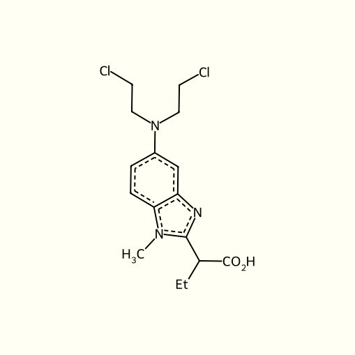 CCC(C(=O)O)c1nc2cc(N(CCCl)CCCl)ccc2n1C